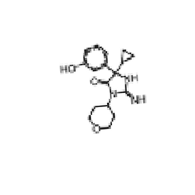 N=C1NC(c2cccc(O)c2)(C2CC2)C(=O)N1C1CCOCC1